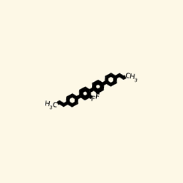 CCCC1CCC(c2ccc(-c3ccc(C4CCC(CCC)CC4)cc3F)c(F)c2)CC1